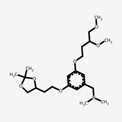 COCC(CCOc1cc(CN(C)C)cc(OCCC2COC(C)(C)O2)c1)OC